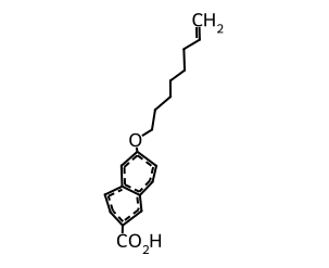 C=CCCCCCCOc1ccc2cc(C(=O)O)ccc2c1